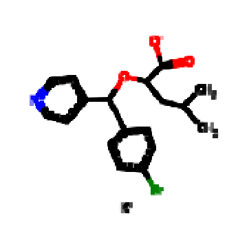 CC(C)CC(OC(c1ccncc1)c1ccc(Br)cc1)C(=O)[O-].[K+]